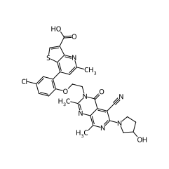 Cc1cc(-c2cc(Cl)ccc2OCCn2c(C)nc3c(C)nc(N4CCC(O)C4)c(C#N)c3c2=O)c2scc(C(=O)O)c2n1